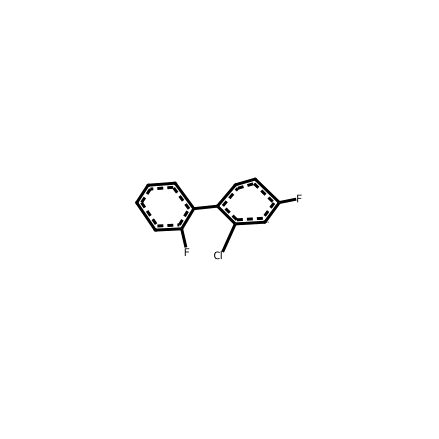 Fc1[c]c(Cl)c(-c2ccccc2F)cc1